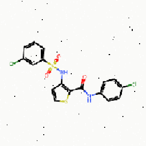 O=C(Nc1ccc(Cl)cc1)c1sccc1NS(=O)(=O)c1cccc(Cl)c1